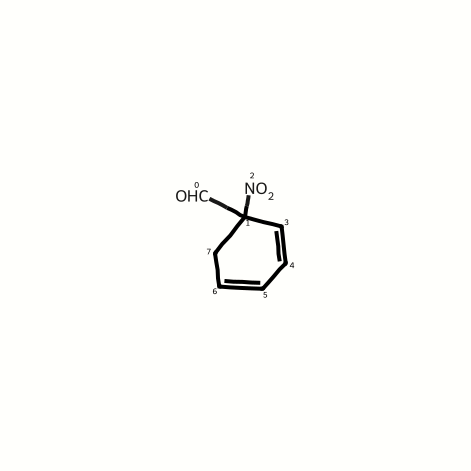 O=CC1([N+](=O)[O-])C=CC=CC1